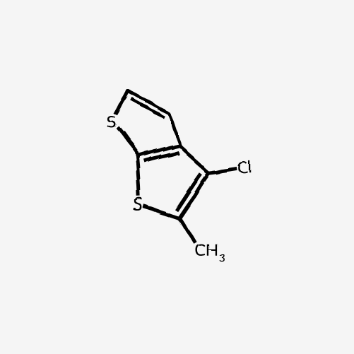 Cc1sc2sccc2c1Cl